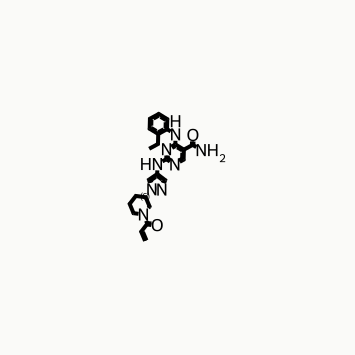 C=CC(=O)N1CCC[C@H](n2cc(Nc3ncc(C(N)=O)c(Nc4ccccc4CC)n3)cn2)C1